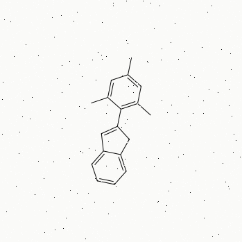 Cc1cc(C)c(C2=Cc3ccccc3C2)c(C)c1